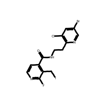 O=C(NCCc1ncc(Br)cc1Cl)c1ccnc(F)c1CI